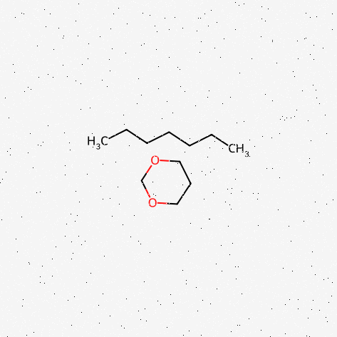 C1COCOC1.CCCCCCC